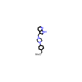 COCc1ccc(N2CCN(Cc3c[nH]c4ncccc34)CC2)cc1